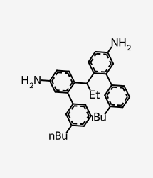 CCCCc1cccc(-c2cc(N)ccc2C(CC)c2ccc(N)cc2-c2cccc(CCCC)c2)c1